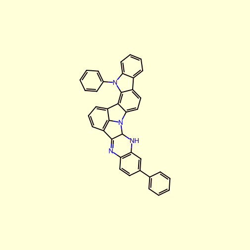 c1ccc(-c2ccc3c(c2)NC2C(=N3)c3cccc4c5c6c(ccc5n2c34)c2ccccc2n6-c2ccccc2)cc1